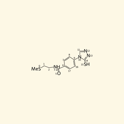 CSCCNC(=O)c1ccc(-n2cnnc2S)cc1